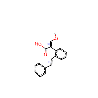 CO/C=C(/C(=O)O)c1ccccc1/C=C/c1ccccc1